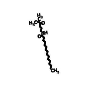 CCCCCCCCCCCCCCCC(=O)NCCCC(=O)C(C)C